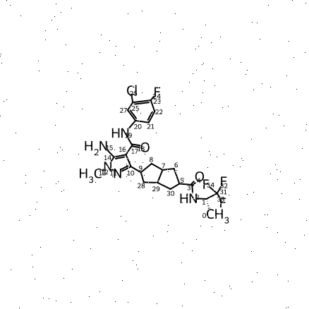 C[C@H](NC(=O)C1CC2CC(c3nn(C)c(N)c3C(=O)Nc3ccc(F)c(Cl)c3)CC2C1)C(F)(F)F